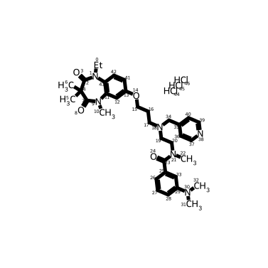 CCN1C(=O)C(C)(C)C(=O)N(C)c2cc(OCCCN(CCN(C)C(=O)c3cccc(N(C)C)c3)Cc3ccncc3)ccc21.Cl.Cl.Cl